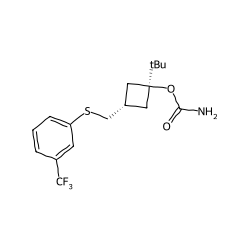 CC(C)(C)[C@]1(OC(N)=O)C[C@H](CSc2cccc(C(F)(F)F)c2)C1